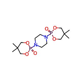 CC1(C)COP(=O)(N2CCN(P3(=O)OCC(C)(C)CO3)CC2)OC1